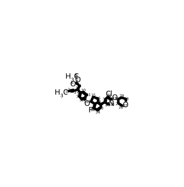 CC#CC(CC(=O)OC)c1ccc(O[C@@H]2CCc3c(-c4cnc(OC5CCOCC5)c(Cl)c4)ccc(F)c32)cc1